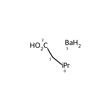 CC(C)CC(=O)O.[BaH2]